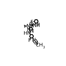 CN1CCN(c2ccc(Nc3ncc(C(=O)Nc4c(F)cccc4F)c(NC4CC4)n3)cc2F)CC1